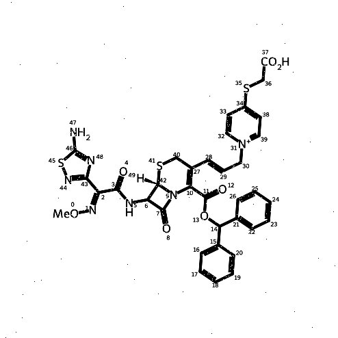 CON=C(C(=O)NC1C(=O)N2C(C(=O)OC(c3ccccc3)c3ccccc3)=C(C=CC[n+]3ccc(SCC(=O)O)cc3)CS[C@@H]12)c1nsc(N)n1